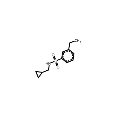 CCc1cccc(S(=O)(=O)NCC2CC2)c1